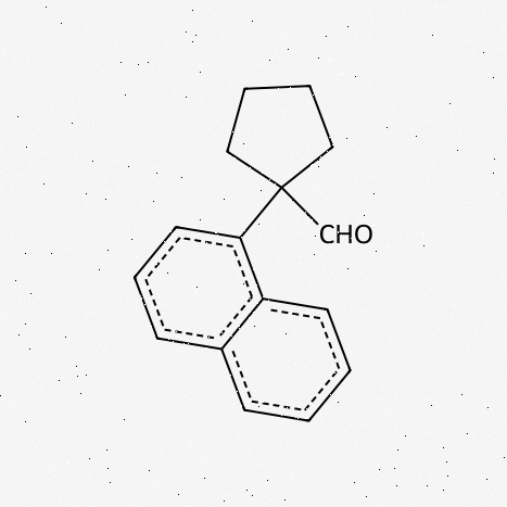 O=CC1(c2cccc3ccccc23)CCCC1